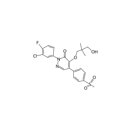 CC(C)(CO)COc1c(-c2ccc(S(C)(=O)=O)cc2)cnn(-c2ccc(F)c(Cl)c2)c1=O